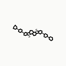 c1ccc(-c2ccc(-c3ccc4sc5c(ccc6c5ccc5c7cc(-c8ccc(-c9ccccc9)cc8)ccc7sc56)c4c3)cc2)cc1